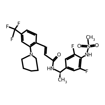 C[C@@H](NC(=O)/C=C/c1ccc(C(F)(F)F)cc1N1CCCCC1)c1cc(F)c(NS(C)(=O)=O)c(F)c1